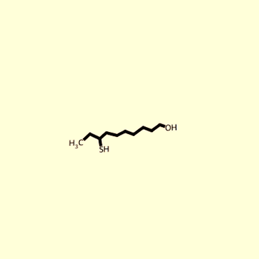 CCC(S)CCCCCCCO